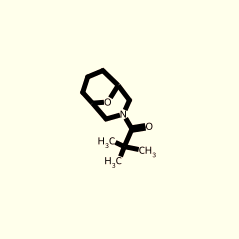 CC(C)(C)C(=O)N1CC2CCCC(C1)O2